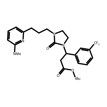 CNc1cccc(CCCN2CCN(C(CC(=O)OC(C)(C)C)c3cccc(C(F)(F)F)c3)C2=O)n1